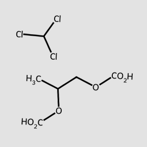 CC(COC(=O)O)OC(=O)O.ClC(Cl)Cl